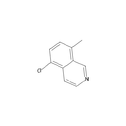 Cc1ccc(Cl)c2ccncc12